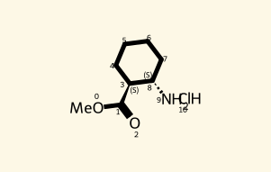 COC(=O)[C@H]1CCCC[C@@H]1N.Cl